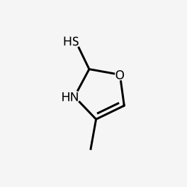 CC1=COC(S)N1